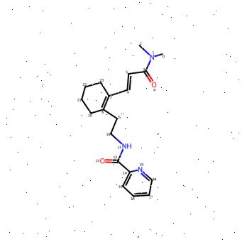 CN(C)C(=O)/C=C/C1=C(CCNC(=O)c2ccccn2)CCCC1